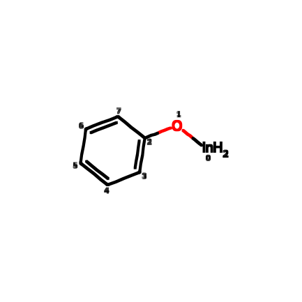 [InH2][O]c1ccccc1